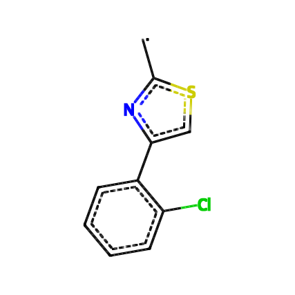 [CH2]c1nc(-c2ccccc2Cl)cs1